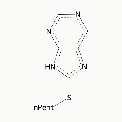 CCCCCSc1nc2cncnc2[nH]1